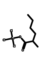 CCCCC(C)C(=O)[O][Sn]([Cl])([Cl])[Cl]